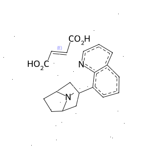 CN1C2CCC1CC(c1cccc3cccnc13)C2.O=C(O)/C=C/C(=O)O